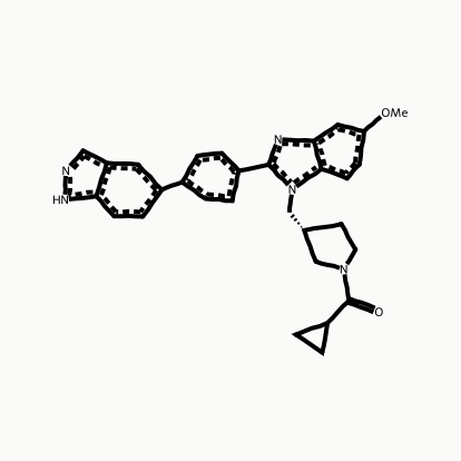 COc1ccc2c(c1)nc(-c1ccc(-c3ccc4[nH]ncc4c3)cc1)n2C[C@@H]1CCN(C(=O)C2CC2)C1